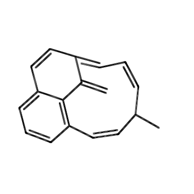 C=c1/c2ccc3cccc(c13)/C=C\C(C)/C=C\C=2